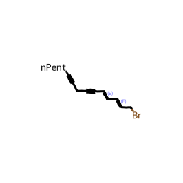 CCCCCC#CCC#C/C=C/C=C/CBr